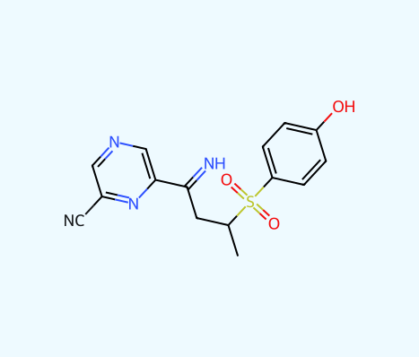 CC(CC(=N)c1cncc(C#N)n1)S(=O)(=O)c1ccc(O)cc1